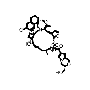 C=C/C1=C\C2=C(C)OC[C@]3(CCCc4cc(Cl)ccc43)CN2C[C@@H]2CC[C@H]2[C@@H](O)/C=C/C[C@H](C)[C@@H](C)S(=O)(NC(=O)c2cc3n(c2)C[C@H](CO)OC3)=NC1=O